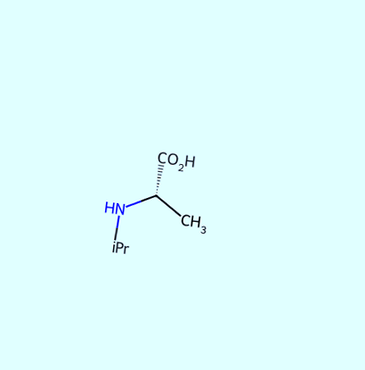 CC(C)N[C@@H](C)C(=O)O